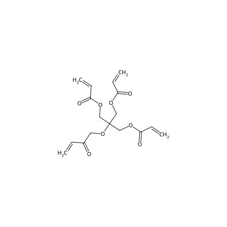 C=CC(=O)COC(COC(=O)C=C)(COC(=O)C=C)COC(=O)C=C